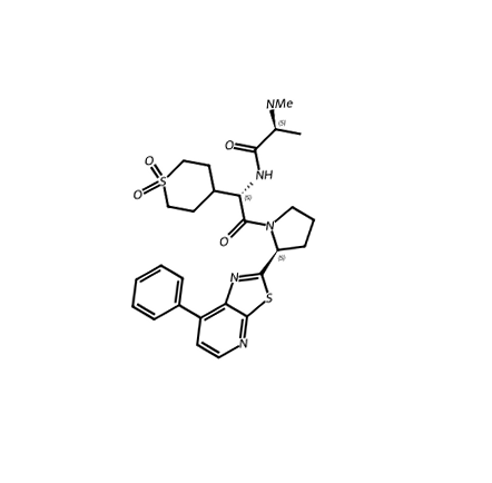 CN[C@@H](C)C(=O)N[C@H](C(=O)N1CCC[C@H]1c1nc2c(-c3ccccc3)ccnc2s1)C1CCS(=O)(=O)CC1